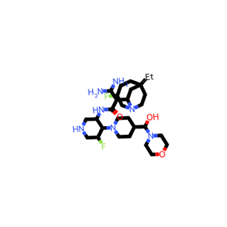 CCC12CCC(F)CN(CC1)C(C(C(=O)NC1CNCC(F)C1N1CCC(C(O)N3CCOCC3)CC1)C(N)N)C2